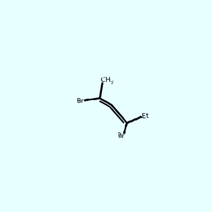 CCC(Br)=C=C(C)Br